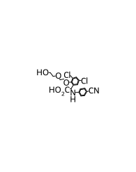 N#Cc1ccc(NC(C(=O)O)c2cc(Cl)cc(Cl)c2OCCOCCO)cc1